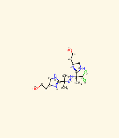 CC(C)(N=NC(C)(C1=NC(CCO)CN1)C(Cl)Cl)C1=NC(CCO)CN1